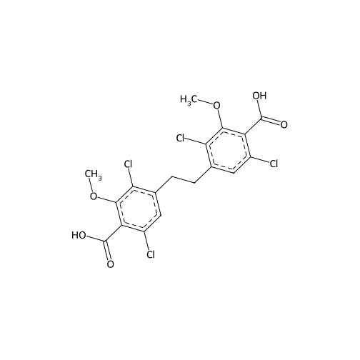 COc1c(Cl)c(CCc2cc(Cl)c(C(=O)O)c(OC)c2Cl)cc(Cl)c1C(=O)O